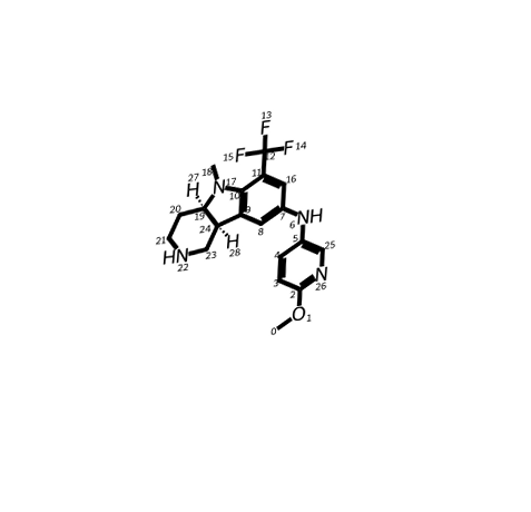 COc1ccc(Nc2cc3c(c(C(F)(F)F)c2)N(C)[C@@H]2CCNC[C@H]32)cn1